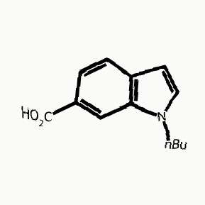 CCCCn1ccc2ccc(C(=O)O)cc21